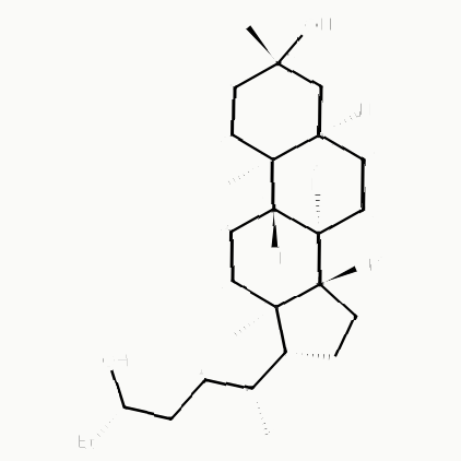 CC[C@H](O)CC[C@@H](C)[C@H]1CC[C@H]2[C@@H]3CC[C@@H]4C[C@@](C)(O)CC[C@]4(C)[C@H]3CC[C@]12C